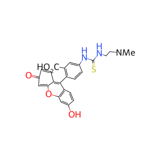 CNCCNC(=S)Nc1ccc(-c2c3ccc(=O)cc-3oc3cc(O)ccc23)c(C(=O)O)c1